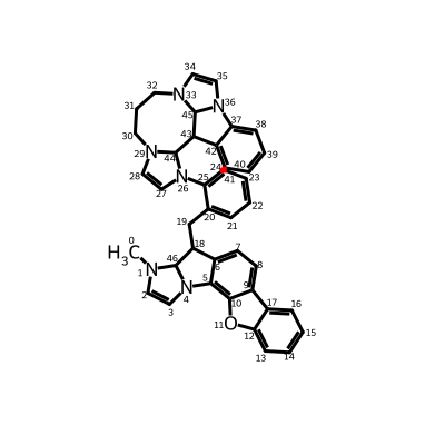 CN1C=CN2c3c(ccc4c3oc3ccccc34)C(Cc3ccccc3N3C=CN4CCCN5C=CN6c7ccccc7C(C43)C56)C12